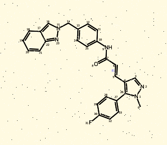 Cn1ncc(/C=C/C(=O)Nc2ccc(Cn3cc4ccccc4n3)cc2)c1-c1ccc(F)cc1